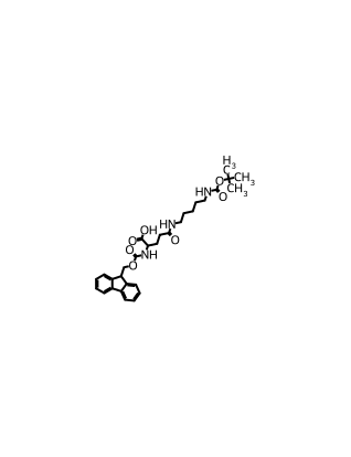 CC(C)(C)OC(=O)NCCCCCNC(=O)CCC(NC(=O)OCC1c2ccccc2-c2ccccc21)C(=O)O